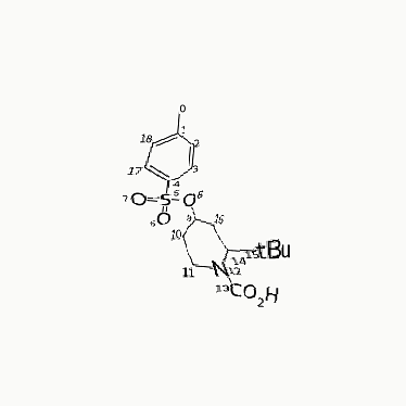 Cc1ccc(S(=O)(=O)OC2CCN(C(=O)O)C(C(C)(C)C)C2)cc1